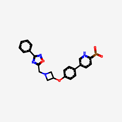 O=S(=O)=c1ccc(-c2ccc(OC3CN(Cc4nc(-c5ccccc5)no4)C3)cc2)c[nH]1